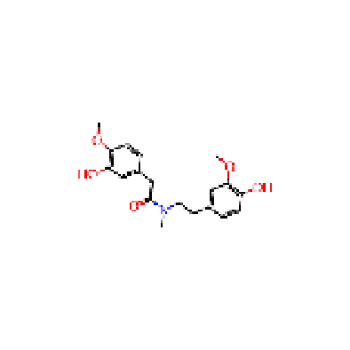 COc1ccc(CC(=O)N(C)CCc2ccc(O)c(OC)c2)cc1O